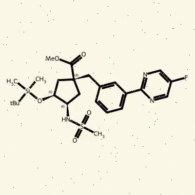 COC(=O)[C@@]1(Cc2cccc(-c3ncc(F)cn3)c2)C[C@H](O[Si](C)(C)C(C)(C)C)[C@H](NS(C)(=O)=O)C1